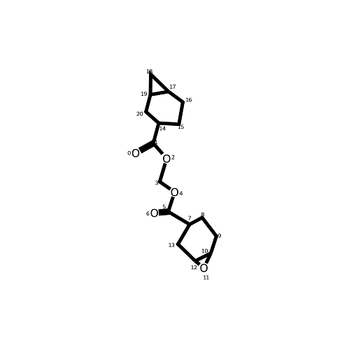 O=C(OCOC(=O)C1CCC2OC2C1)C1CCC2CC2C1